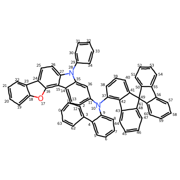 c1ccc(-c2ccccc2N(c2ccc3c4c5oc6ccccc6c5ccc4n(-c4ccccc4)c3c2)c2cccc3c2-c2ccccc2C32c3ccccc3-c3ccccc32)cc1